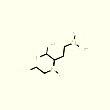 CCCN(C)C(CCN(C)C)C(C)F